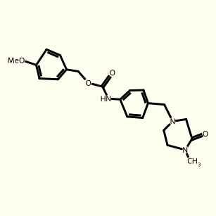 COc1ccc(COC(=O)Nc2ccc(CN3CCN(C)C(=O)C3)cc2)cc1